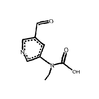 CN(C(=O)O)c1cncc(C=O)c1